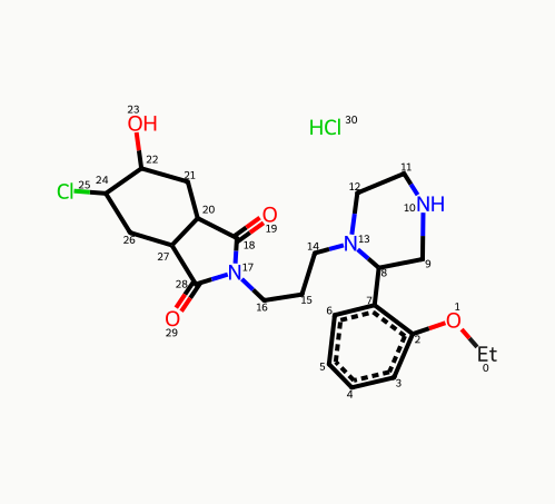 CCOc1ccccc1C1CNCCN1CCCN1C(=O)C2CC(O)C(Cl)CC2C1=O.Cl